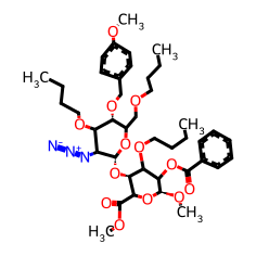 CCCCOCC1O[C@H](O[C@@H]2C(C(=O)OC)O[C@H](OC)C(OC(=O)c3ccccc3)C2OCCCC)C(N=[N+]=[N-])C(OCCCC)[C@@H]1OCc1ccc(OC)cc1